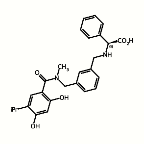 CC(C)c1cc(C(=O)N(C)Cc2cccc(CN[C@H](C(=O)O)c3ccccc3)c2)c(O)cc1O